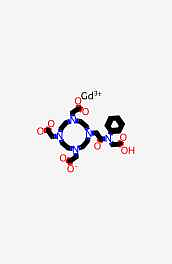 O=C([O-])CN1CCN(CC(=O)[O-])CCN(CC(=O)N(CC(=O)O)c2ccccc2)CCN(CC(=O)[O-])CC1.[Gd+3]